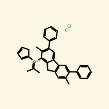 C[C](C)=[Zr+2]([C]1=CC=CC1)[c]1c(C)c(-c2ccccc2)cc2c1Cc1cc(C)c(-c3ccccc3)cc1-2.[Cl-].[Cl-]